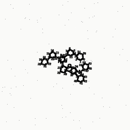 c1ccc(-c2cccc(-c3nc(-c4cccc(-c5ccccc5)c4)nc(-c4cccc5c4oc4cc6c(cc45)c4ccccc4n6-c4ccccc4)n3)c2)cc1